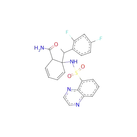 CC(c1ccc(F)cc1F)C1(NS(=O)(=O)c2cccc3nccnc23)C=CC=CC1C(N)=O